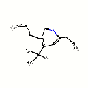 C=CCc1cnc(C=C)cc1C(C)(C)CC